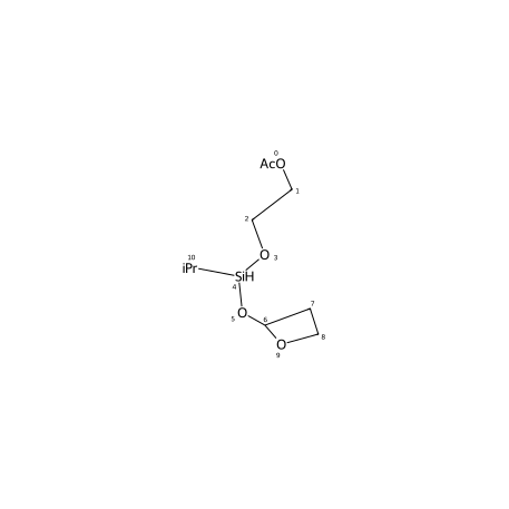 CC(=O)OCCO[SiH](OC1CCO1)C(C)C